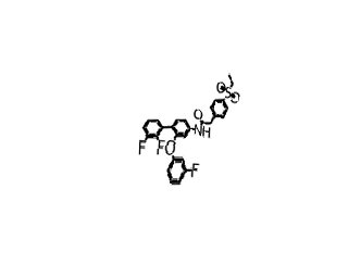 CCS(=O)(=O)c1ccc(CC(=O)Nc2ccc(-c3cccc(F)c3F)c(Oc3cccc(F)c3)c2)cc1